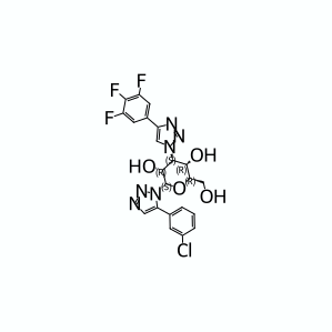 OC[C@H]1O[C@H](n2nncc2-c2cccc(Cl)c2)[C@H](O)[C@@H](n2cc(-c3cc(F)c(F)c(F)c3)nn2)[C@H]1O